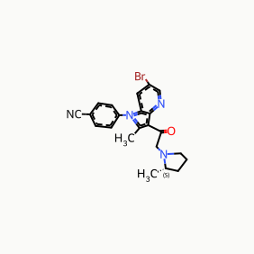 Cc1c(C(=O)CN2CCC[C@@H]2C)c2ncc(Br)cc2n1-c1ccc(C#N)cc1